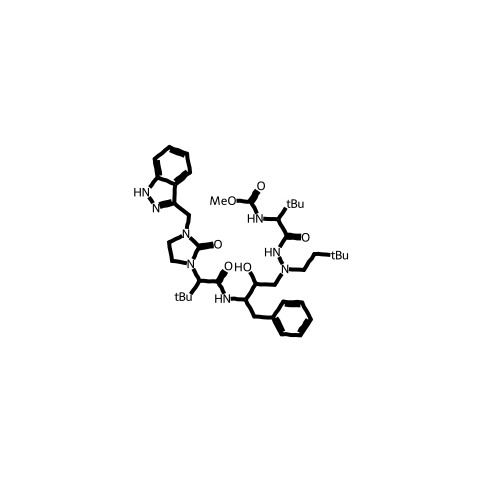 COC(=O)NC(C(=O)NN(CCC(C)(C)C)CC(O)C(Cc1ccccc1)NC(=O)C(N1CCN(Cc2n[nH]c3ccccc23)C1=O)C(C)(C)C)C(C)(C)C